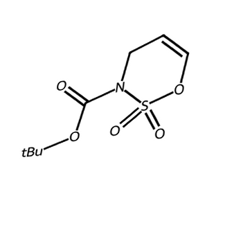 CC(C)(C)OC(=O)N1CC=COS1(=O)=O